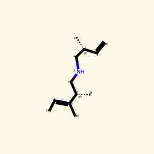 C=C[C@@H](C)CNC[C@H](C)/C(C)=C/C